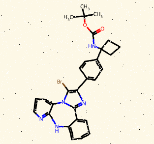 CC(C)(C)OC(=O)NC1(c2ccc(-c3nc4n(c3Br)-c3cccnc3Nc3ccccc3-4)cc2)CCC1